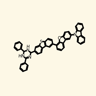 c1ccc(C2=NC(c3ccc4c(c3)sc3ccc(-c5cccc6c5oc5ccc(-n7c8ccccc8c8ccccc87)cc56)cc34)NC(c3ccccc3)N2)cc1